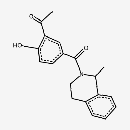 CC(=O)c1cc(C(=O)N2CCc3ccccc3C2C)ccc1O